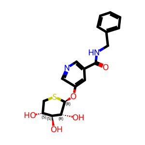 O=C(NCc1ccccc1)c1cncc(O[C@@H]2SC[C@@H](O)[C@H](O)[C@H]2O)c1